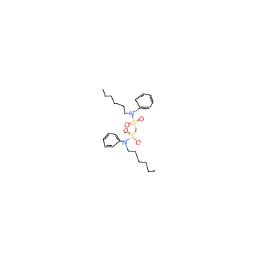 CCCCCCN(c1ccccc1)S(=O)(=O)CS(=O)(=O)N(CCCCCC)c1ccccc1